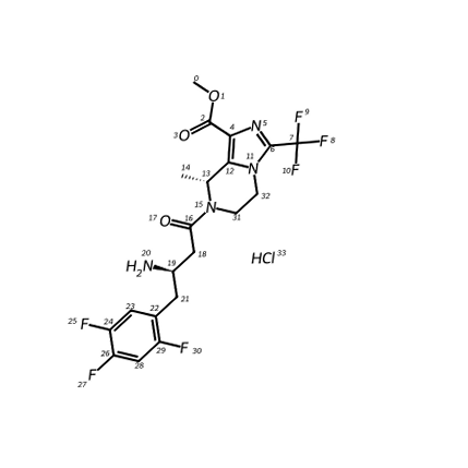 COC(=O)c1nc(C(F)(F)F)n2c1[C@@H](C)N(C(=O)C[C@H](N)Cc1cc(F)c(F)cc1F)CC2.Cl